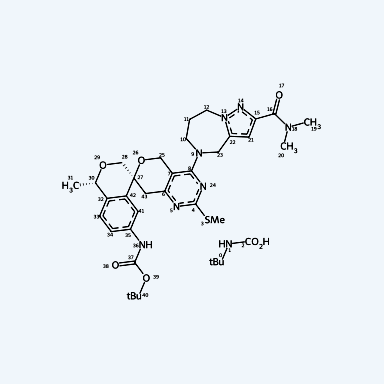 CC(C)(C)NC(=O)O.CSc1nc2c(c(N3CCCn4nc(C(=O)N(C)C)cc4C3)n1)CO[C@@]1(CO[C@@H](C)c3ccc(NC(=O)OC(C)(C)C)cc31)C2